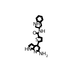 NCC(Cc1ccccc1)NC(=O)c1ccc(-c2cc(N)nc3[nH]ccc23)s1